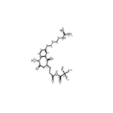 CN1C(=O)CN(CCC(=O)OC(=O)C(F)(F)F)C(=O)c2cc(CCCCCNC(=N)N)ccc21